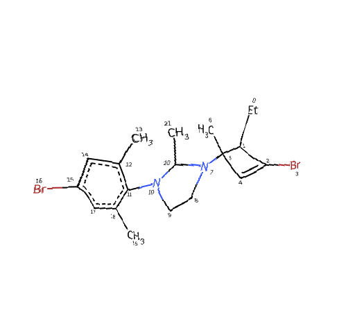 CCC1C(Br)=CC1(C)N1CCN(c2c(C)cc(Br)cc2C)C1C